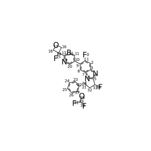 Fc1cc2nc3n(c2cc1-c1cbc(C2(F)COC2)nc1)[C@@H](c1ccccc1OC(F)F)CC3F